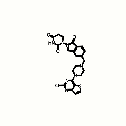 O=C1CCN(N2Cc3cc(CN4CCN(c5nc(Cl)nc6ccsc56)CC4)ccc3C2=O)C(=O)N1